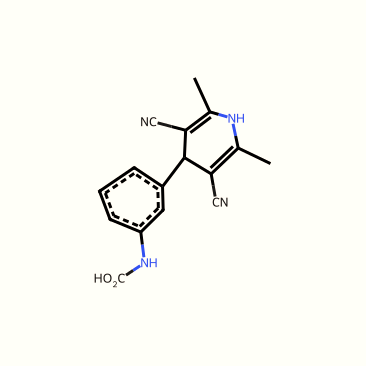 CC1=C(C#N)C(c2cccc(NC(=O)O)c2)C(C#N)=C(C)N1